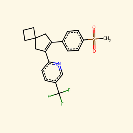 CS(=O)(=O)c1ccc(C2=C(c3ccc(C(F)(F)F)cn3)CC3(CCC3)C2)cc1